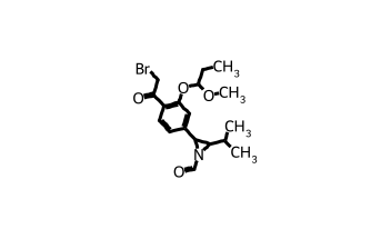 CCC(OC)Oc1cc(C2C(C(C)C)N2C=O)ccc1C(=O)CBr